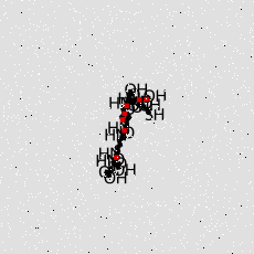 O=C(O)CC[C@H](NC(=O)NCCCCCNC(=O)NCc1ccc(CC(=O)N[C@@H](CC(=O)O)C(=O)N[C@@H](CC(=O)O)C(=O)NCCS)cc1)C(=O)O